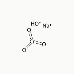 [Na+].[OH-].[O]=[Cr](=[O])=[O]